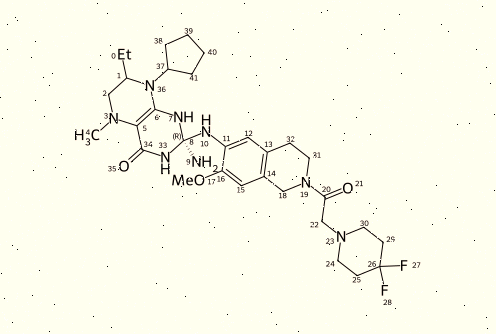 CCC1CN(C)C2=C(N[C@@](N)(Nc3cc4c(cc3OC)CN(C(=O)CN3CCC(F)(F)CC3)CC4)NC2=O)N1C1CCCC1